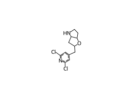 Clc1cc(CC2CC3NCCC3O2)cc(Cl)n1